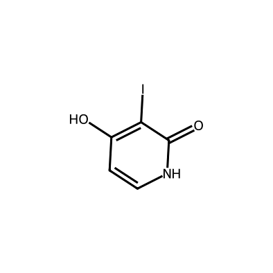 O=c1[nH]ccc(O)c1I